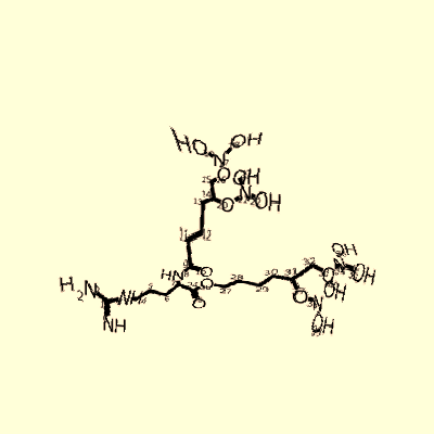 N=C(N)NCCCC(NC(=O)CCCC(CON(O)O)ON(O)O)C(=O)OCCCCC(CON(O)O)ON(O)O